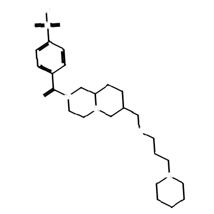 CS(=O)(=O)c1ccc(C(=O)N2CCN3CC(COCCCN4CCCCC4)CCC3C2)cc1